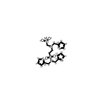 O=[SH](=O)CN(CCS(=O)(=O)N(Cc1cccs1)Cc1cccs1)Cc1cccs1